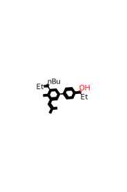 CCCCC(CC)[C@H]1C[C@@H](C2=CCC([C@H](O)CC)C=C2)C=C(C=C(C)C)C1C